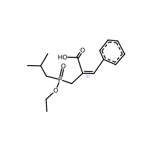 CCOP(=O)(C/C(=C/c1ccccc1)C(=O)O)CC(C)C